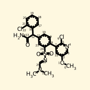 COc1cnc(Cl)c(-c2ccc(C(C(N)=O)c3ccccc3Cl)cc2S(=O)(=O)N=CN(C)C)c1